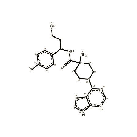 NC1(C(=O)NC(CCO)c2ccc(Cl)cc2)CCN(c2ncnc3[nH]cnc23)CC1